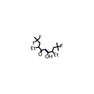 CCC(CC(C)(F)F)C(=O)/C=C(\O)C(CC)CC(C)(C)F